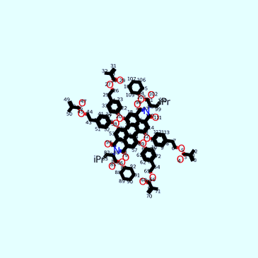 C=C(C)C(=O)OCCc1ccc(Oc2cc3c4c(cc(Oc5ccc(CCOC(=O)C(=C)C)cc5)c5c6c(Oc7ccc(CCOC(=O)C(=C)C)cc7)cc7c8c(cc(Oc9ccc(CCOC(=O)C(=C)C)cc9)c(c2c45)c86)C(=O)N(C(CC(C)C)C(=O)OC2CCCCC2)C7=O)C(=O)N(C(CC(C)C)C(=O)OC2CCCCC2)C3=O)cc1